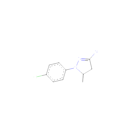 CCC1CC(N)=NN1c1ccc(Cl)cc1